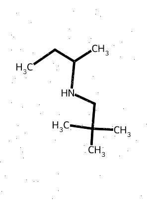 CCC(C)NCC(C)(C)C